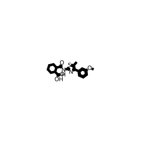 COc1cccc(-c2nc(NC(=O)C3CCCCC3C(=O)O)sc2C)c1